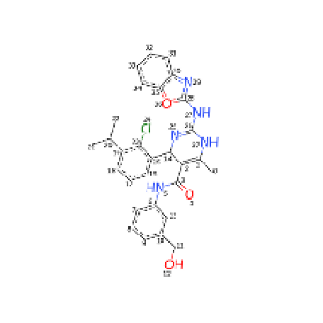 CC1=C(C(=O)Nc2cccc(CO)c2)C(c2cccc(C(C)C)c2Cl)N=C(Nc2nc3ccccc3o2)N1